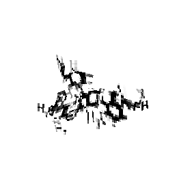 Cc1ccc2c(cnn2PI)c1N1CCc2c(nc(O[C@H](C)CN(C)C)nc2N2CCNC(CC#N)C2)C1